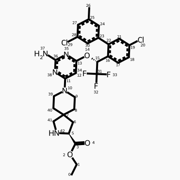 CCOC(=O)[C@@H]1CC2(CCN(c3cc(O[C@H](c4ccc(Cl)cc4-c4cc(C)cc(Cl)c4)C(F)(F)F)nc(N)n3)CC2)CN1